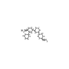 NC1CCC(C2CCCC(C3CCC(N)C(C4CCCCC4)C3)C2)CC1